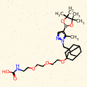 Cc1c(B2OC(C)(C)C(C)(C)O2)cnn1CC12CC3CC(C1)CC(OCCOCCOCCNC(=O)O)(C3)C2